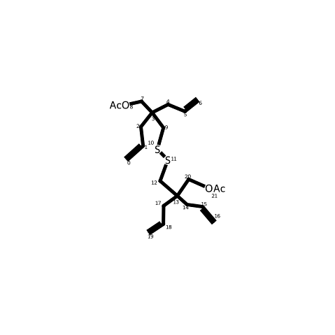 C=CCC(CC=C)(COC(C)=O)CSSCC(CC=C)(CC=C)COC(C)=O